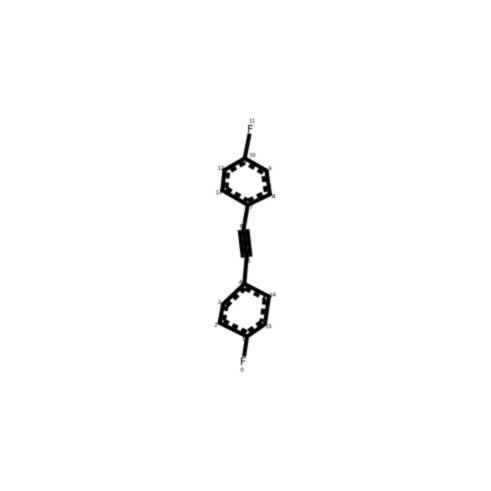 Fc1ccc(C#Cc2ccc(F)cc2)cc1